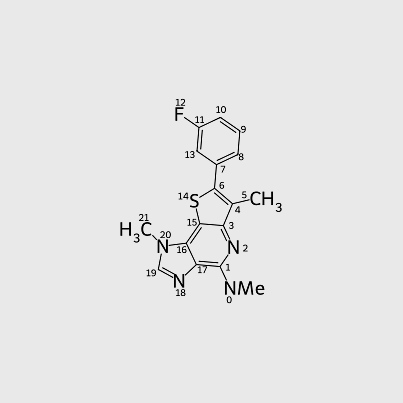 CNc1nc2c(C)c(-c3cccc(F)c3)sc2c2c1ncn2C